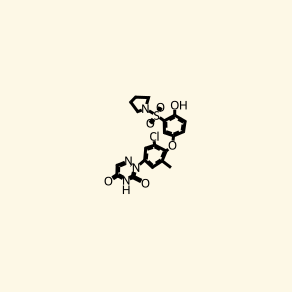 Cc1cc(-n2ncc(=O)[nH]c2=O)cc(Cl)c1Oc1ccc(O)c(S(=O)(=O)N2CCCC2)c1